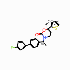 C[C@@H](c1ccc(-c2ccc(F)cc2)cc1)N1CC[C@](CC(=O)O)(c2cccs2)OC1=O